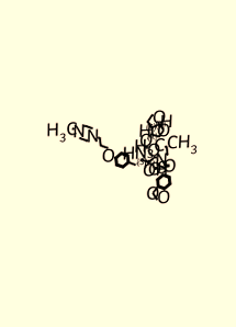 CC(C)CN(C[C@@H](O)[C@H](Cc1ccc(OCCCN2CCN(C)CC2)cc1)NC(=O)O[C@H]1CO[C@H]2OCC[C@H]21)S(=O)(=O)c1ccc2c(c1)OCO2